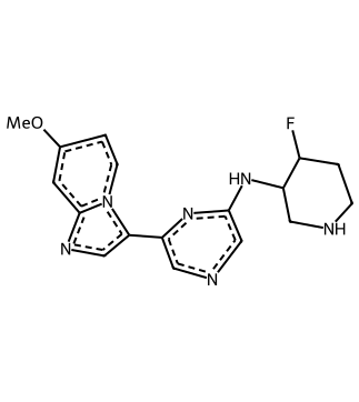 COc1ccn2c(-c3cncc(NC4CNCCC4F)n3)cnc2c1